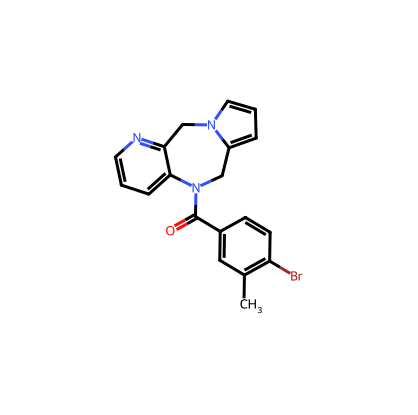 Cc1cc(C(=O)N2Cc3cccn3Cc3ncccc32)ccc1Br